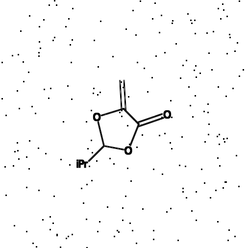 C=C1OC(C(C)C)OC1=O